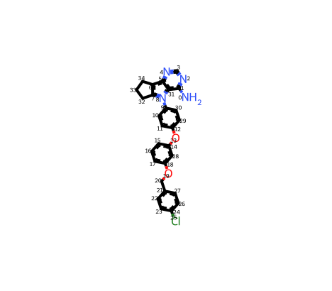 Nc1ncnc2c3c(n(-c4ccc(Oc5cccc(OCc6ccc(Cl)cc6)c5)cc4)c12)CCC3